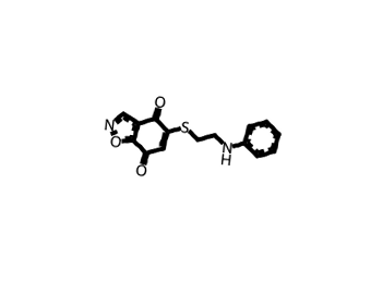 O=C1C(SCCNc2ccccc2)=CC(=O)c2oncc21